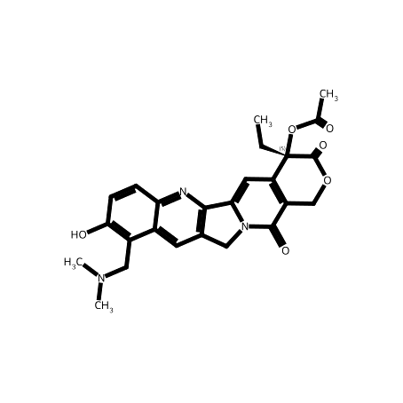 CC[C@@]1(OC(C)=O)C(=O)OCc2c1cc1n(c2=O)Cc2cc3c(CN(C)C)c(O)ccc3nc2-1